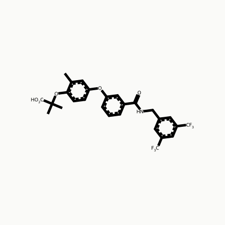 Cc1cc(Oc2cccc(C(=O)NCc3cc(C(F)(F)F)cc(C(F)(F)F)c3)c2)ccc1OC(C)(C)C(=O)O